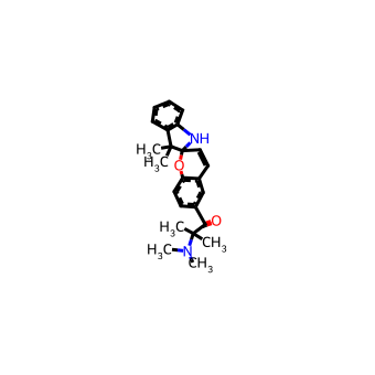 CN(C)C(C)(C)C(=O)c1ccc2c(c1)C=CC1(Nc3ccccc3C1(C)C)O2